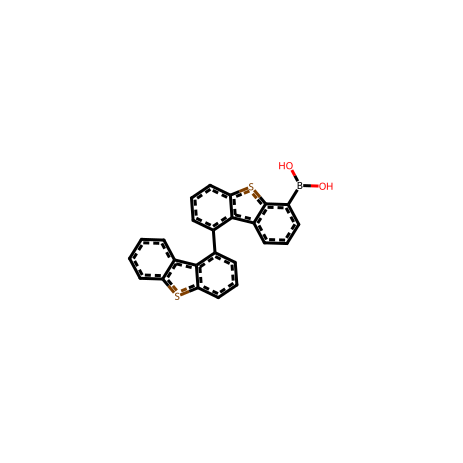 OB(O)c1cccc2c1sc1cccc(-c3cccc4sc5ccccc5c34)c12